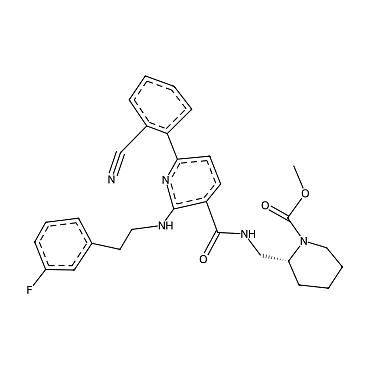 COC(=O)N1CCCC[C@@H]1CNC(=O)c1ccc(-c2ccccc2C#N)nc1NCCc1cccc(F)c1